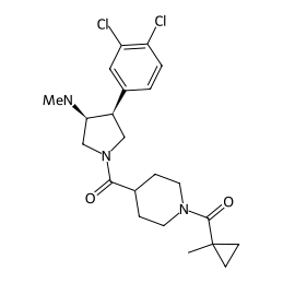 CN[C@@H]1CN(C(=O)C2CCN(C(=O)C3(C)CC3)CC2)C[C@@H]1c1ccc(Cl)c(Cl)c1